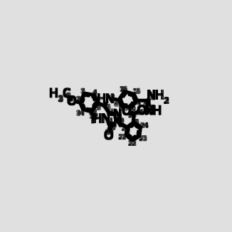 COc1ccc(C(Nc2ccc(C(=N)N)cc2)c2nn(-c3ccccc3C(=O)O)c(=O)[nH]2)c(F)c1